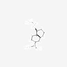 CCCCON=C1CCCC2=C1CCC(N(CCC)CCC)C2